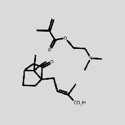 C=C(C)C(=O)OCCN(C)C.CC(=CCC12CCC(CC1=O)C2(C)C)C(=O)O